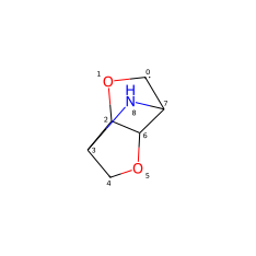 [CH]1OC2C3COC2C1N3